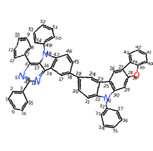 c1ccc(-c2nc(-c3ccccc3)c3c(n2)c2cc(-c4ccc5c(c4)c4cc6c(cc4n5-c4ccccc4)oc4ccccc46)ccc2n3-c2ccccc2)cc1